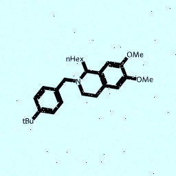 CCCCCCC1c2cc(OC)c(OC)cc2CCN1Cc1ccc(C(C)(C)C)cc1